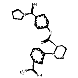 N=C(N)c1cccc(N2CCCC[C@@H]2C(=O)Oc2ccc(C(=N)N3CCCC3)cc2)c1